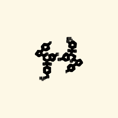 COc1ccc(S(=O)(=O)N(CC(=O)N2CCCC2c2ccc(F)cc2)c2ccc(Cl)cc2)cc1.COc1cccc(S(=O)(=O)N(CC(=O)N2CCCC2c2ccc(F)cc2)c2ccc(Cl)cc2)c1